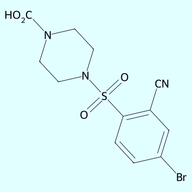 N#Cc1cc(Br)ccc1S(=O)(=O)N1CCN(C(=O)O)CC1